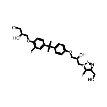 CC(C)(c1ccc(OCC(O)Cn2nnc(CO)c2I)cc1)c1ccc(OCC(O)CCl)c(I)c1